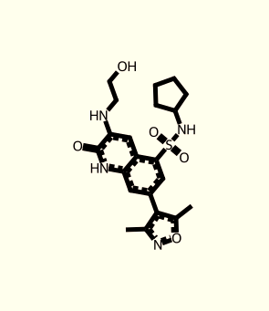 Cc1noc(C)c1-c1cc(S(=O)(=O)NC2CCCC2)c2cc(NCCO)c(=O)[nH]c2c1